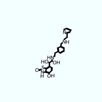 O=c1[nH]c2c(O)ccc(C(O)C(O)NCCc3cccc(CNCCc4ccccn4)c3)c2s1